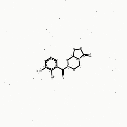 O=C(c1cccc([N+](=O)[O-])c1O)N1CCN2C(=O)CCC2C1